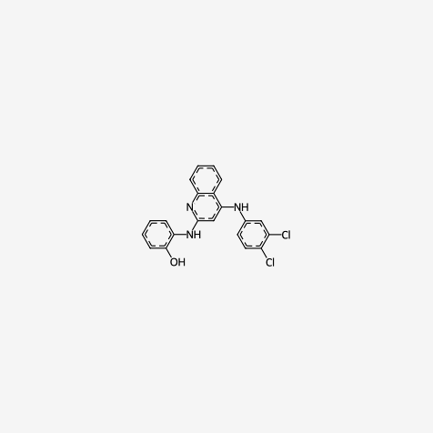 Oc1ccccc1Nc1cc(Nc2ccc(Cl)c(Cl)c2)c2ccccc2n1